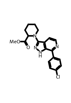 COC(=O)C1CCCCN1c1n[nH]c2c(-c3ccc(Cl)cc3)nccc12